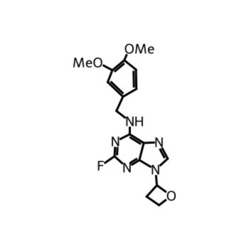 COc1ccc(CNc2nc(F)nc3c2ncn3C2CCO2)cc1OC